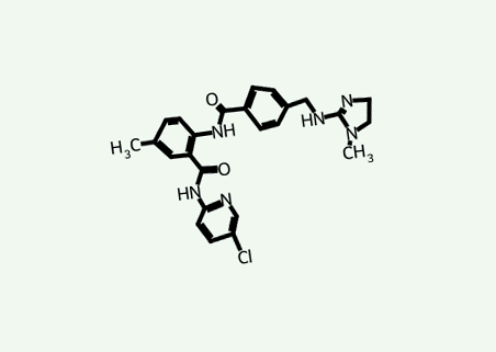 Cc1ccc(NC(=O)c2ccc(CNC3=NCCN3C)cc2)c(C(=O)Nc2ccc(Cl)cn2)c1